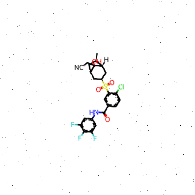 C[C@@H]1CC2C[C@H](S(=O)(=O)c3cc(C(=O)Nc4cc(F)c(F)c(F)c4)ccc3Cl)C[C@@H]1[C@]2(O)CC#N